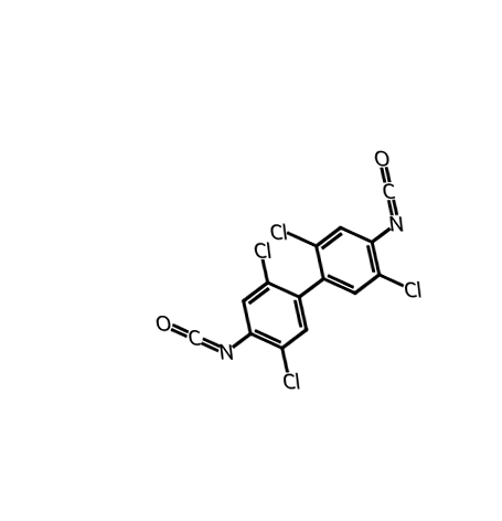 O=C=Nc1cc(Cl)c(-c2cc(Cl)c(N=C=O)cc2Cl)cc1Cl